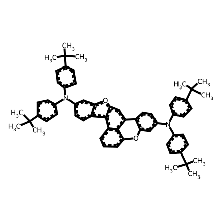 CC(C)(C)c1ccc(N(c2ccc(C(C)(C)C)cc2)c2ccc3c(c2)Oc2cccc4c2c-3cc2oc3cc(N(c5ccc(C(C)(C)C)cc5)c5ccc(C(C)(C)C)cc5)ccc3c24)cc1